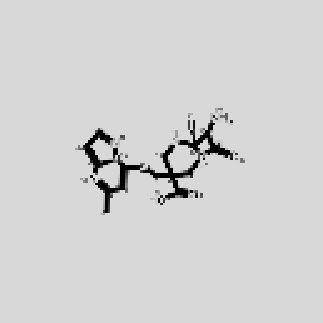 Cc1cc(SCC2(C(=O)O)CS[C@@H]3C(N)C(=O)N3C2)n2nccc2n1